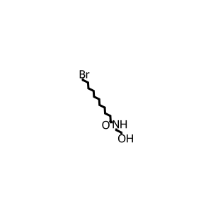 O=C(CCCCCCCCCCBr)NCCO